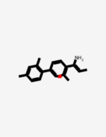 C/C=C(\N)C(/C=C\C(=C/C)c1ccc(C)cc1C)=C(C)C